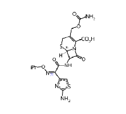 CC(C)O/N=C(\C(=O)NC1C(=O)N2C(C(=O)O)=C(COC(N)=O)CS[C@H]12)c1csc(N)n1